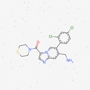 NCc1cc2ncc(C(=O)N3CCSCC3)n2cc1-c1ccc(Cl)cc1Cl